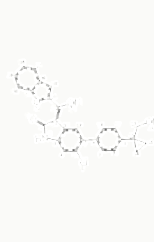 O=C1Nc2cc(Cl)c(-c3ccc(C4(CO)CC4)cc3)cc2C1=C(O)c1cc2ccccc2o1